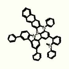 CN(c1ccccc1)c1ccccc1-c1cc2c3c(c1)N(c1ccccc1)c1cc4cc5ccccc5cc4cc1B3n1c3ccc(-c4ccccc4)cc3c3cc(-c4ccccc4)cc-2c31